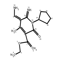 C=C(OCC)C1=C(C)/C(=C/N)C(=N)N(C2CCCC2)C1=O